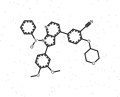 COc1ccc(-c2cc3c(-c4ccc(OC5CCOCC5)c(C#N)c4)ccnc3n2[S+]([O-])c2ccccc2)cc1OC